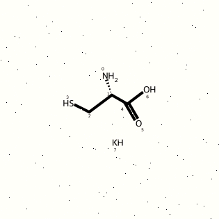 N[C@@H](CS)C(=O)O.[KH]